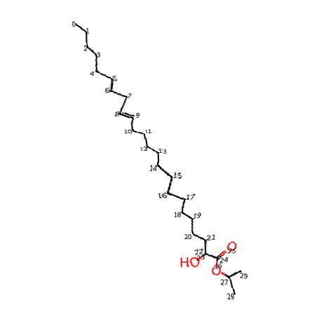 CCCCCCCCC=CCCCCCCCCCCCCC(O)C(=O)OC(C)C